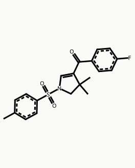 Cc1ccc(S(=O)(=O)N2C=C(C(=O)c3ccc(F)cc3)C(C)(C)C2)cc1